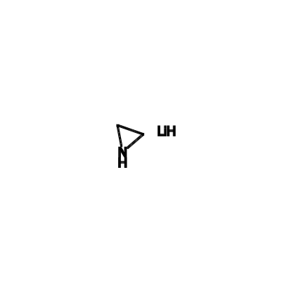 C1CN1.[LiH]